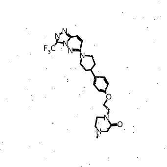 CN1CCN(CCOc2ccc(C3CCN(c4ccc5nnc(C(F)(F)F)n5n4)CC3)cc2)C(=O)C1